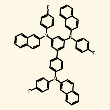 Fc1ccc(N(c2ccc(-c3cc(N(c4ccc(F)cc4)c4ccc5ccccc5c4)cc(N(c4ccc(F)cc4)c4ccc5ccccc5c4)c3)cc2)c2ccc3ccccc3c2)cc1